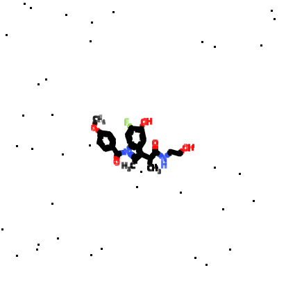 Cc1c(C(C)C(=O)NCCO)c2cc(O)c(F)cc2n1C(=O)c1ccc(OC(F)(F)F)cc1